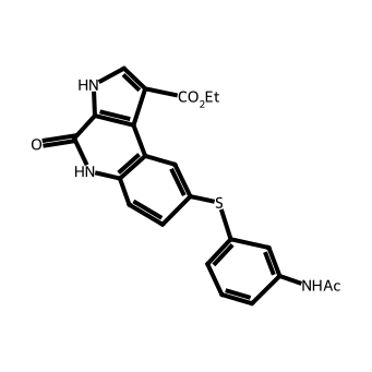 CCOC(=O)c1c[nH]c2c(=O)[nH]c3ccc(Sc4cccc(NC(C)=O)c4)cc3c12